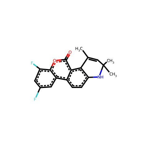 CC1=CC(C)(C)Nc2ccc3c(c21)c(=O)oc1c(F)cc(F)cc13